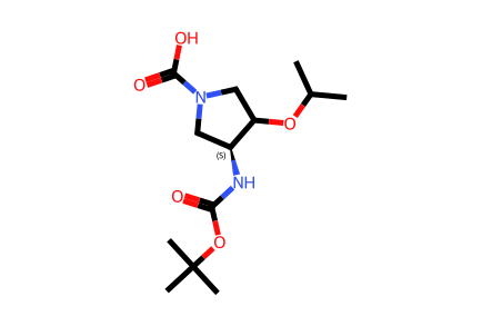 CC(C)OC1CN(C(=O)O)C[C@@H]1NC(=O)OC(C)(C)C